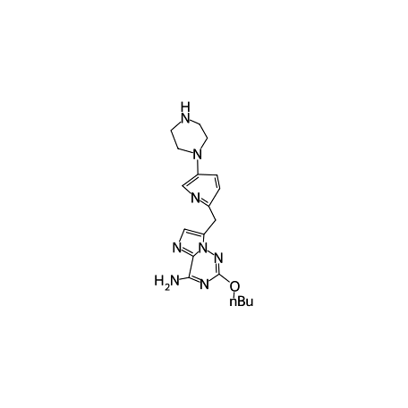 CCCCOc1nc(N)c2ncc(Cc3ccc(N4CCNCC4)cn3)n2n1